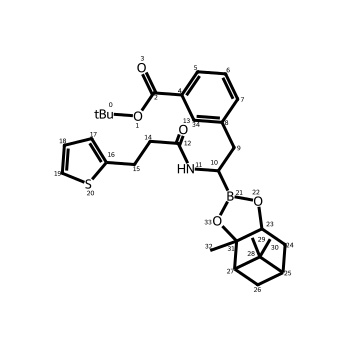 CC(C)(C)OC(=O)c1cccc(CC(NC(=O)CCc2cccs2)B2OC3CC4CC(C4(C)C)C3(C)O2)c1